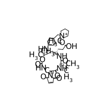 CC(C)[C@@H]1NC(=O)[C@@H](N2C(=O)C=CC2=O)CNC(=O)OC(C)(C)C(Nc2ccc(C[N+]3(C)CCCCC3)cc2)C[C@H](CCC(=O)O)NC1=O